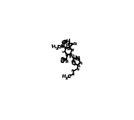 CCCCC1CN=C([C@@H]2CC3(CC3)[C@@H](N(C)O)CC2C=O)O1